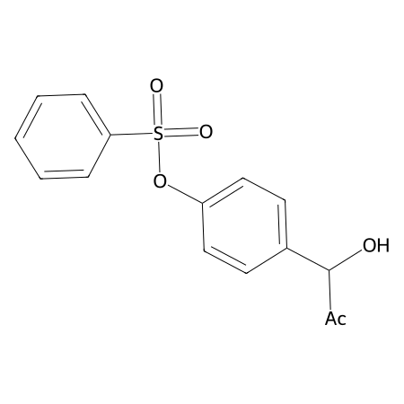 CC(=O)C(O)c1ccc(OS(=O)(=O)c2ccccc2)cc1